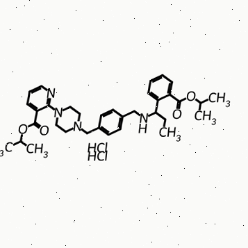 CCC(NCc1ccc(CN2CCN(c3ncccc3C(=O)OC(C)C)CC2)cc1)c1ccccc1C(=O)OC(C)C.Cl.Cl